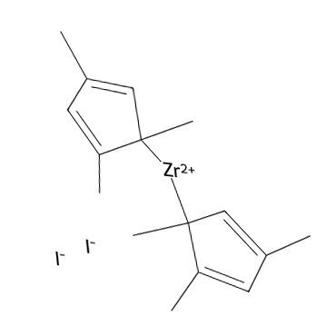 CC1=C[C](C)([Zr+2][C]2(C)C=C(C)C=C2C)C(C)=C1.[I-].[I-]